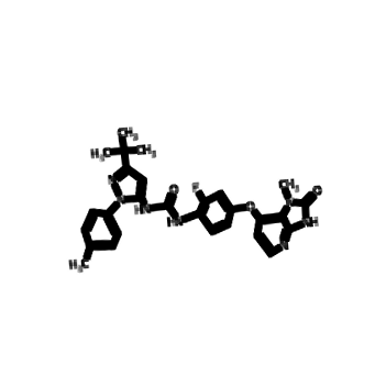 Cc1ccc(-n2nc(C(C)(C)C)cc2NC(=O)Nc2ccc(Oc3ccnc4[nH]c(=O)n(C)c34)cc2F)cc1